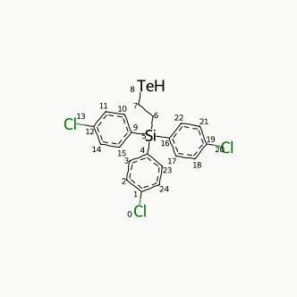 Clc1ccc([Si](CC[TeH])(c2ccc(Cl)cc2)c2ccc(Cl)cc2)cc1